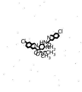 CCN(C)C(=O)[C@@]1(C(=O)c2cc3ccc(Cl)cc3cn2)CC[C@H](NC(=O)c2cc3ccc(Cl)cc3cn2)[C@@H](N)C1